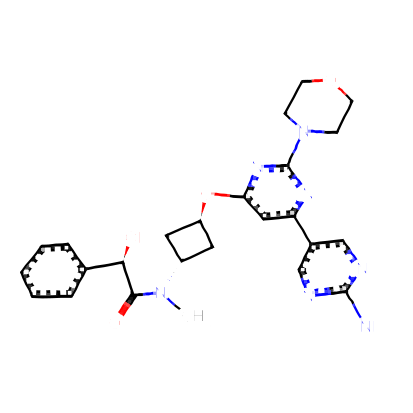 CN(C(=O)[C@H](O)c1ccccc1)[C@H]1C[C@H](Oc2cc(-c3cnc(N)nc3)nc(N3CCOCC3)n2)C1